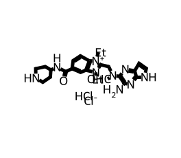 CCn1c(CN(C=O)c2nc3cc[nH]c3nc2N)[n+](CC)c2ccc(C(=O)NC3CCNCC3)cc21.Cl.[Cl-]